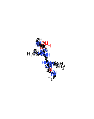 CCn1nnc([C@@H]2CC[C@H](n3cnc4c(NCCCCNc5nc(N6CC[C@@H](N(C)C)C6)nc6c5ncn6[C@@H]5O[C@H](c6nnn(CC)n6)[C@@H](O)[C@H]5O)nc(N5CC[C@@H](N(C)C)C5)nc43)O2)n1